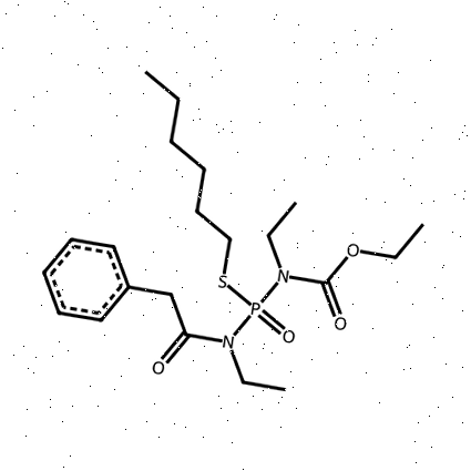 CCCCCCSP(=O)(N(CC)C(=O)Cc1ccccc1)N(CC)C(=O)OCC